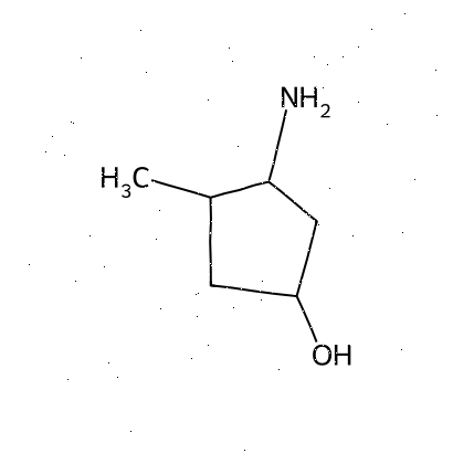 CC1CC(O)CC1N